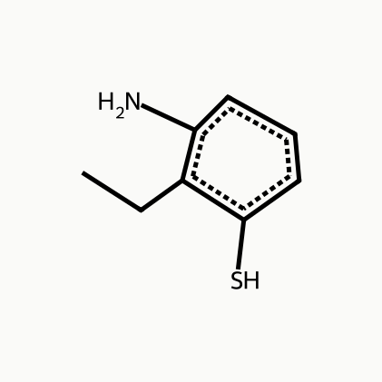 CCc1c(N)cccc1S